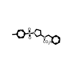 Cc1ccc(S(=O)(=O)N2CCC(N(Cc3ccccc3)C(=O)O)C2)cc1